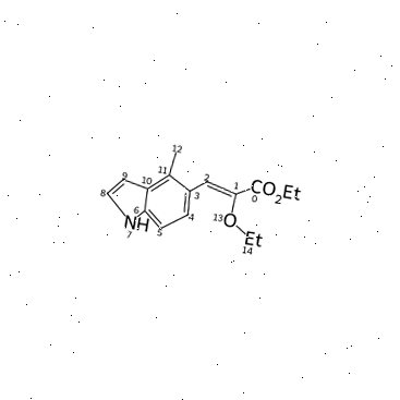 CCOC(=O)/C(=C/c1ccc2[nH]ccc2c1C)OCC